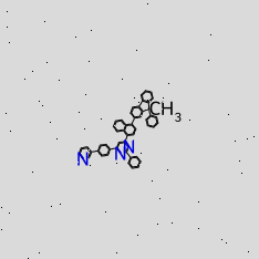 CC1(c2ccccc2)c2ccccc2-c2ccc(-c3ccc(-c4cc(-c5ccc(-c6cccnc6)cc5)nc(-c5ccccc5)n4)c4ccccc34)cc21